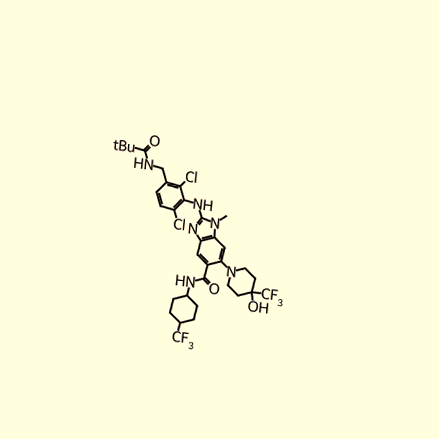 Cn1c(Nc2c(Cl)ccc(CNC(=O)C(C)(C)C)c2Cl)nc2cc(C(=O)NC3CCC(C(F)(F)F)CC3)c(N3CCC(O)(C(F)(F)F)CC3)cc21